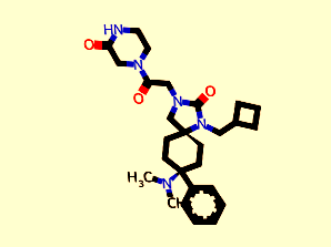 CN(C)[C@]1(c2ccccc2)CC[C@@]2(CC1)CN(CC(=O)N1CCNC(=O)C1)C(=O)N2CC1CCC1